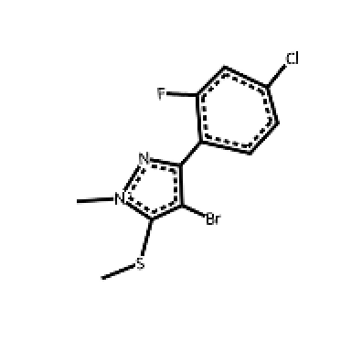 CSc1c(Br)c(-c2ccc(Cl)cc2F)nn1C